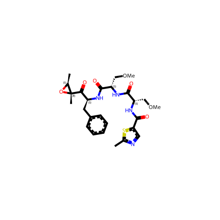 COC[C@H](NC(=O)c1cnc(C)s1)C(=O)N[C@@H](COC)C(=O)N[C@@H](Cc1ccccc1)C(=O)[C@]1(C)O[C@H]1C